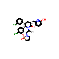 CCC(CN1CCCS1(=O)=O)N1C(=O)[C@@H](Cc2cccc(O)n2)C[C@H](c2cccc(Cl)c2)[C@H]1c1ccc(Cl)cc1